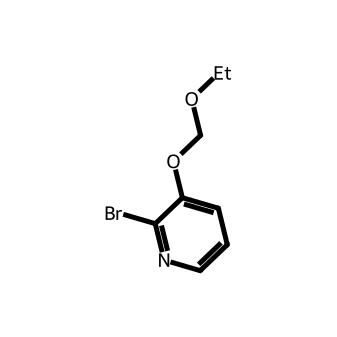 CCOCOc1cccnc1Br